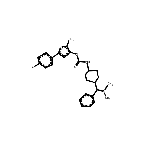 Cc1oc(-c2ccc(Cl)cc2)cc1OC(=O)NC1CCC(C(c2ccccc2)N(C)C)CC1